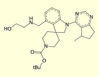 CC1CCc2ncnc(N3CC4(CCN(C(=O)OC(C)(C)C)CC4)c4c(CNCCO)cccc43)c21